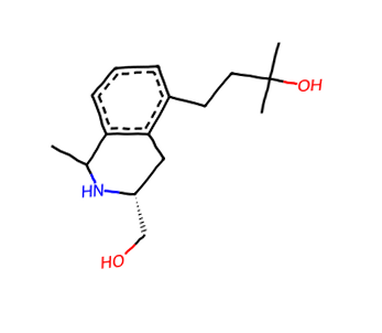 CC1N[C@@H](CO)Cc2c(CCC(C)(C)O)cccc21